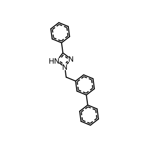 c1ccc(-c2cccc(Cn3nc(-c4ccccc4)[nH]3)c2)cc1